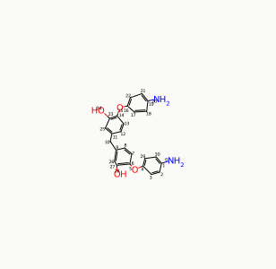 Nc1ccc(Oc2ccc(Cc3ccc(Oc4ccc(N)cc4)c(O)c3)cc2O)cc1